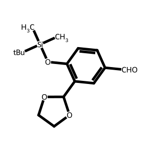 CC(C)(C)[Si](C)(C)Oc1ccc(C=O)cc1C1OCCO1